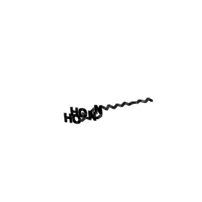 CCCCCCCCCCCCCCN1CCN(CC(O)CO)CC1